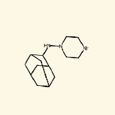 C1CN(NC2C3CC4CC(C3)CC2C4)CCN1